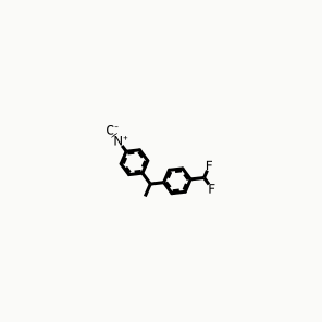 [C-]#[N+]c1ccc(C(C)c2ccc(C(F)F)cc2)cc1